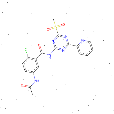 CC(=O)Nc1ccc(Cl)c(C(=O)Nc2nc(-c3ccccn3)nc(S(C)(=O)=O)n2)c1